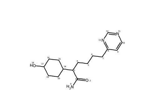 NC(=O)C(CCCCc1ccncn1)C1CCC(O)CC1